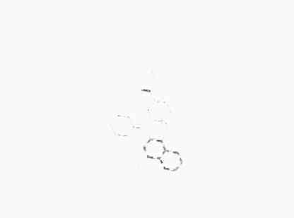 CCOC(=O)C1CCN(Cc2c(OC3CCCCC3)cc(C)c3ccccc23)CC1